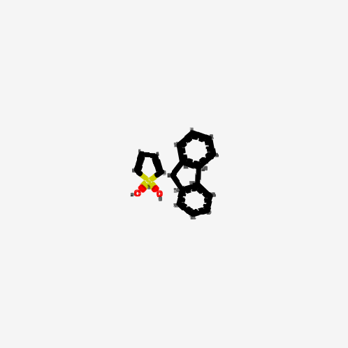 O=S1(=O)C=CC=C1.c1ccc2c(c1)Cc1ccccc1-2